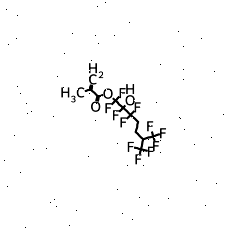 C=C(C)C(=O)OC(F)(F)C(O)(F)C(F)(F)CCC(C(F)(F)F)C(F)(F)F